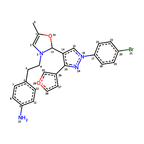 CC1=CN(CCc2ccc(N)cc2)C(c2cn(-c3ccc(Br)cc3)nc2-c2ccoc2)O1